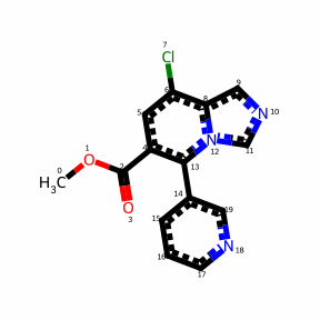 COC(=O)c1cc(Cl)c2cncn2c1-c1cccnc1